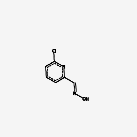 O/N=C/c1cccc(Cl)n1